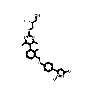 Cc1nc(OC[C@H](O)CO)nc(C)c1-c1cccc(COc2ccc(-c3cc(O)n[s+]3[O-])cc2)c1C